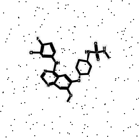 CNS(=O)(=O)N[C@H]1CC[C@H](Oc2cc3c(Nc4ccc(F)c(Cl)c4)ncnc3cc2OC)CC1